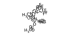 CCN(CC1CCCC1)C1=C(CNc2ncc(OCCS(C)(=O)=O)cn2)N(Cc2cc(C(F)(F)F)cc(C(F)(F)F)c2)C(OC)C=C1.Cl.Cl.Cl